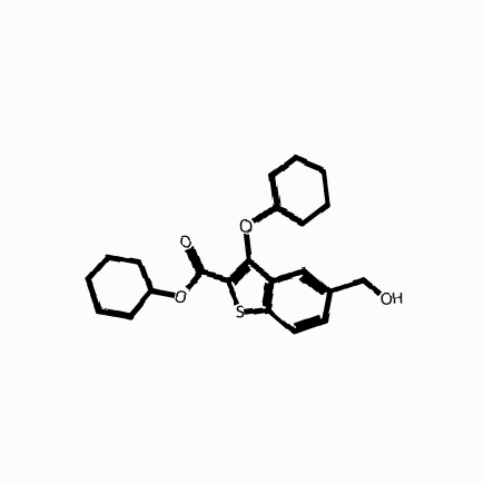 O=C(OC1CCCCC1)c1sc2ccc(CO)cc2c1OC1CCCCC1